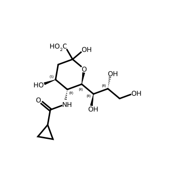 O=C(N[C@H]1[C@H]([C@H](O)[C@H](O)CO)OC(O)(C(=O)O)C[C@@H]1O)C1CC1